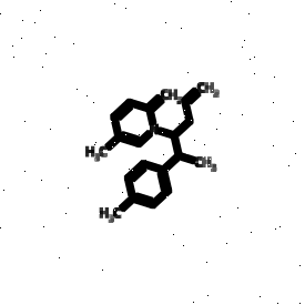 C=CCC(C(C)c1ccc(C)cc1)N1C=C(C)C=CC1=C